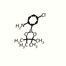 CC1(C)OB(c2cc(Cl)ccc2N)OC1(C)C